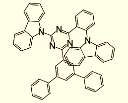 c1ccc(-c2cc(-c3ccccc3)cc(-c3nc(-c4ccccc4-n4c5ccccc5c5ccccc54)nc(-n4c5ccccc5c5ccccc54)n3)c2)cc1